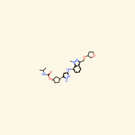 CC(C)NC(=O)O[C@@H]1CC[C@H](c2cc(Nc3cccc4c(COC5CCOC5)nn(C)c34)n[nH]2)C1